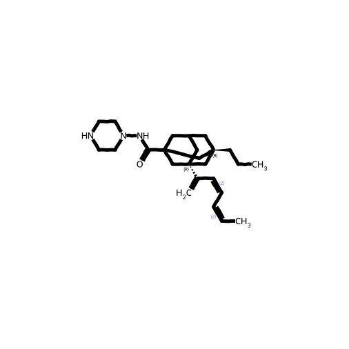 C=C(/C=C\C=C/C)[C@]12CC3CC(C(=O)NN4CCNCC4)(C[C@](CCC)(C3)C1)C2